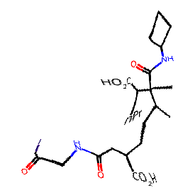 CCCC(C(=O)O)C(C)(C(=O)NC1CCC1)C(C)CCC(CC(=O)NCC(=O)I)C(=O)O